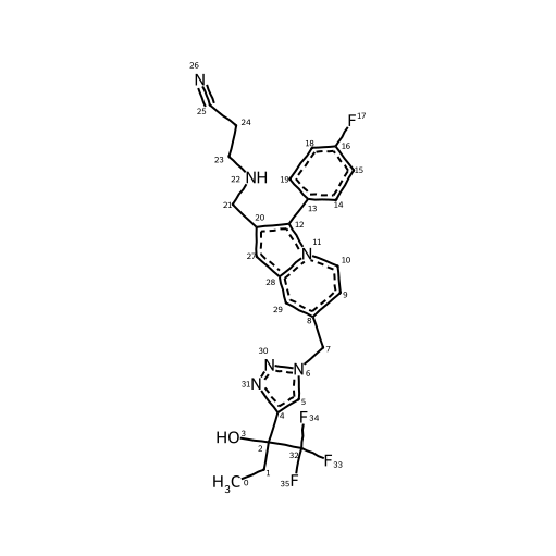 CCC(O)(c1cn(Cc2ccn3c(-c4ccc(F)cc4)c(CNCCC#N)cc3c2)nn1)C(F)(F)F